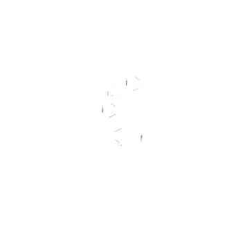 CC12CC=CCC1C=C(Oc1c(Cl)cc(NS(=O)(=O)c3ccc(Cl)cc3Cl)cc1Cl)C=N2